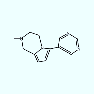 CN1CCn2c(ccc2-c2cncnc2)C1